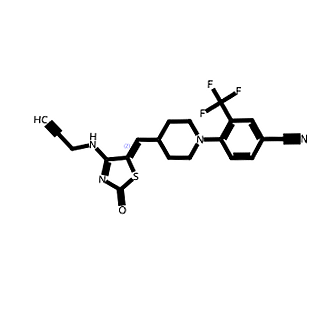 C#CCNC1=NC(=O)S/C1=C\C1CCN(c2ccc(C#N)cc2C(F)(F)F)CC1